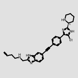 C=CCCNCc1nc2ccc(C#Cc3ccc(-c4nc([C@@H]5CCCCN5)[nH]c4CC)cc3)cc2[nH]1